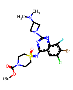 CN(C)C1CN(c2nc(N=S3(=O)CCN(C(=O)OC(C)(C)C)CC3)c3cc(Cl)c(Br)c(F)c3n2)C1